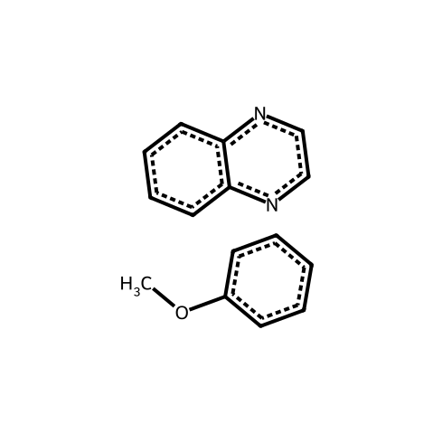 COc1ccccc1.c1ccc2nccnc2c1